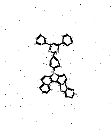 c1ccc(-c2cc(-c3ccccc3)nc(-c3ccc(-n4c5ccc6ccccc6c5c5c6sc7ccccc7c6ccc54)cc3)n2)cc1